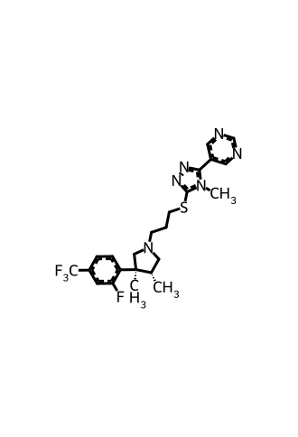 C[C@H]1CN(CCCSc2nnc(-c3cncnc3)n2C)C[C@]1(C)c1ccc(C(F)(F)F)cc1F